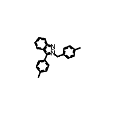 Cc1ccc(Cn2nc3ccccc3c2-c2ccc(C)cc2)cc1